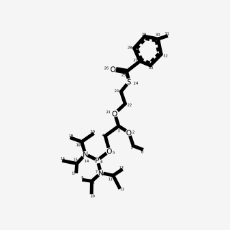 CCOC(COP(N(C(C)C)C(C)C)N(C(C)C)C(C)C)OCCSC(=O)c1ccc(C)cc1